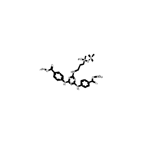 CCCCOC(=O)c1ccc(Nc2nc(NCCC[Si](C)(O)O[Si](C)(C)C)nc(Nc3ccc(C(=O)OCCCC)cc3)n2)cc1